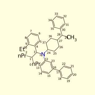 CCCC(CCC)C(c1ccccc1CC)N(c1cccc(-c2ccccc2)c1)C1CCC(C(C)c2ccccc2)CC1